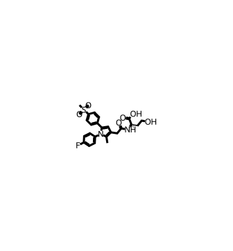 Cc1c(CC(=O)N[C@H](CCO)C(=O)O)cc(-c2ccc(S(C)(=O)=O)cc2)n1-c1ccc(F)cc1